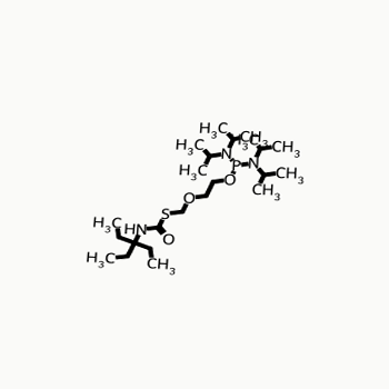 CCC(CC)(CC)NC(=O)SCOCCOP(N(C(C)C)C(C)C)N(C(C)C)C(C)C